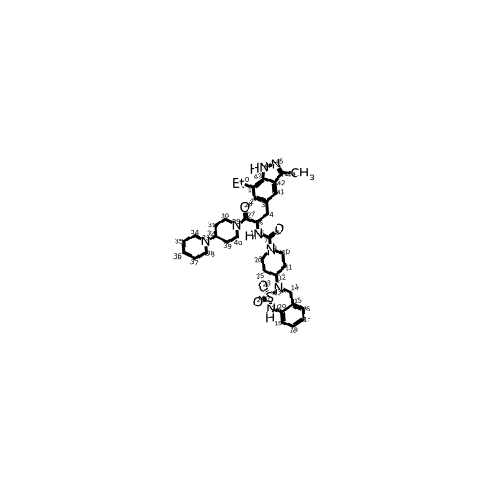 CCc1cc(CC(NC(=O)N2CCC(N3Cc4ccccc4NS3(=O)=O)CC2)C(=O)N2CCC(N3CCCCC3)CC2)cc2c(C)n[nH]c12